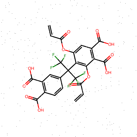 C=CC(=O)Oc1cc(C(=O)O)c(C(=O)O)c(OC(=O)C=C)c1C(c1ccc(C(=O)O)c(C(=O)O)c1)(C(F)(F)F)C(F)(F)F